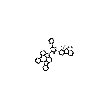 CC1(C)c2ccccc2-c2ccc(-c3nc(-c4ccccc4)nc(-n4c5cccc6c7ccccc7n7c8ccccc8c8ccc4c(c65)c87)n3)cc21